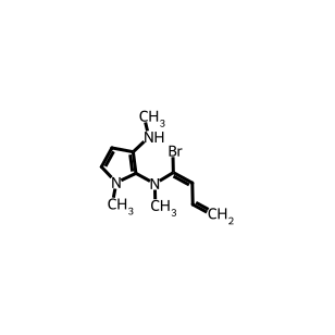 C=C/C=C(/Br)N(C)c1c(NC)ccn1C